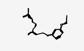 CCOc1cccc(CCC=C(C)CCC=C(C)C)c1